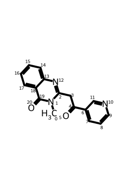 Cn1c(CC(=O)c2cccnc2)nc2ccccc2c1=O